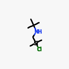 CC(C)(C)NC[Si](C)(C)Cl